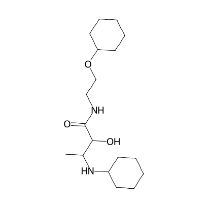 CC(NC1CCCCC1)C(O)C(=O)NCCOC1CCCCC1